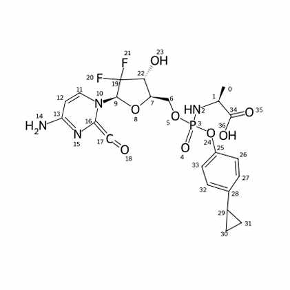 C[C@H](NP(=O)(OC[C@H]1O[C@@H](N2C=CC(N)=NC2=C=O)C(F)(F)[C@@H]1O)Oc1ccc(C2CC2)cc1)C(=O)O